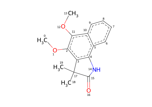 COc1c2c(c3ccccc3c1OC)NC(=O)C2(C)C